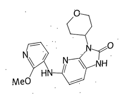 COc1ncccc1Nc1ccc2[nH]c(=O)n(C3CCOCC3)c2n1